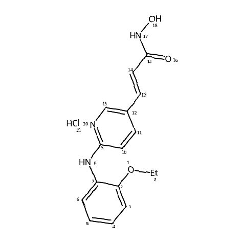 CCOc1ccccc1Nc1ccc(/C=C/C(=O)NO)cn1.Cl